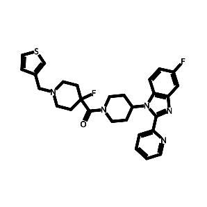 O=C(N1CCC(n2c(-c3ccccn3)nc3cc(F)ccc32)CC1)C1(F)CCN(Cc2ccsc2)CC1